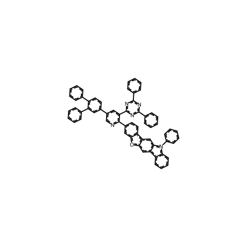 c1ccc(-c2nc(-c3ccccc3)nc(-c3cc(-c4ccc(-c5ccccc5)c(-c5ccccc5)c4)cnc3-c3ccc4c(c3)oc3cc5c6ccccc6n(-c6ccccc6)c5cc34)n2)cc1